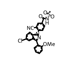 COc1ccccc1-c1nn(-c2ccc(C(=O)NS(C)(=O)=O)cc2C#N)c2ccc(Cl)cc12